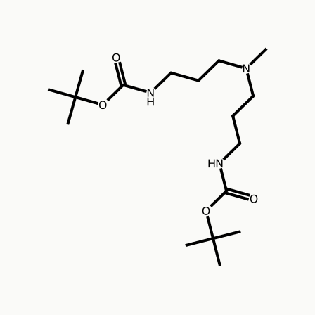 CN(CCCNC(=O)OC(C)(C)C)CCCNC(=O)OC(C)(C)C